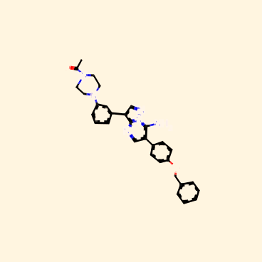 CC(=O)N1CCN(c2cccc(-c3cnn4c(N)c(-c5ccc(OCc6ccccc6)cc5)cnc34)c2)CC1